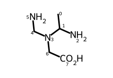 CC(N)N(CN)CC(=O)O